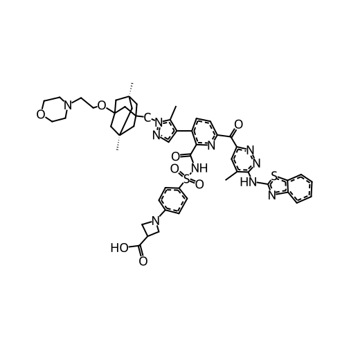 Cc1cc(C(=O)c2ccc(-c3cnn(CC45CC6(OCCN7CCOCC7)C[C@](C)(C4)C[C@](C)(C5)C6)c3C)c(C(=O)NS(=O)(=O)c3ccc(N4CC(C(=O)O)C4)cc3)n2)nnc1Nc1nc2ccccc2s1